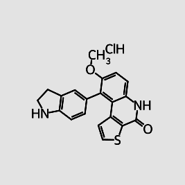 COc1ccc2[nH]c(=O)c3sccc3c2c1-c1ccc2c(c1)CCN2.Cl